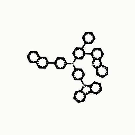 c1ccc(-c2ccc(N(c3ccc(-c4ccc5ccccc5c4)cc3)c3ccc(-n4c5ccccc5c5ccccc54)cc3)cc2-c2cccc3c2oc2ccccc23)cc1